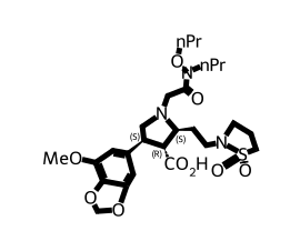 CCCON(CCC)C(=O)CN1C[C@H](c2cc(OC)c3c(c2)OCO3)[C@@H](C(=O)O)[C@@H]1CCN1CCCS1(=O)=O